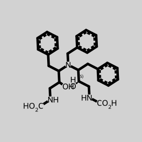 O=C(O)NCC(O)C(Cc1ccccc1)N(Cc1ccccc1)C(Cc1ccccc1)[C@@H](O)CNC(=O)O